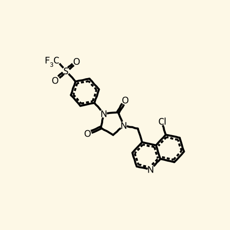 O=C1CN(Cc2ccnc3cccc(Cl)c23)C(=O)N1c1ccc(S(=O)(=O)C(F)(F)F)cc1